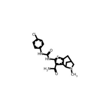 CN1CC2Cc3sc(NC(=O)Nc4ccc(Cl)cc4)c(C(N)=O)c3C1C2